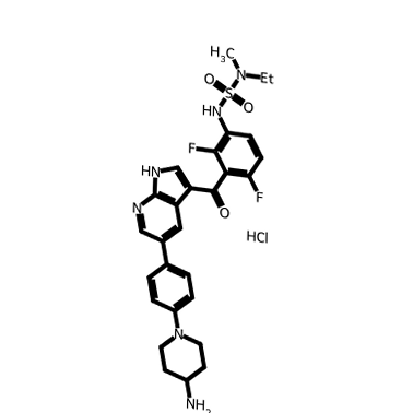 CCN(C)S(=O)(=O)Nc1ccc(F)c(C(=O)c2c[nH]c3ncc(-c4ccc(N5CCC(N)CC5)cc4)cc23)c1F.Cl